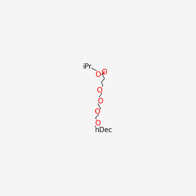 CCCCCCCCCCCOCCOCCOCCOCCCC(=O)OCCC(C)C